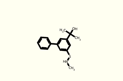 CNSc1cc(-c2ccccc2)cc(C(C)(C)O)c1